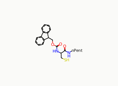 CCCCCNC(=O)C(CS)NC(=O)OCC1c2ccccc2-c2ccccc21